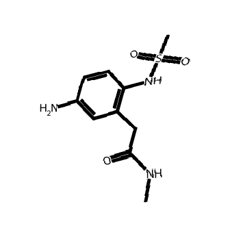 CNC(=O)Cc1cc(N)ccc1NS(C)(=O)=O